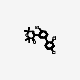 CCc1ccc(-c2ccc(Cl)cc2Cl)cc1C1=[C]C(C)(C)OC(C)(C)C1=O